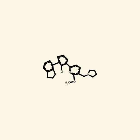 COc1nc(-c2cccc(-c3cccc4c3CCC4)c2Cl)ccc1CN1CCCC1